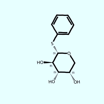 O[C@@H]1[C@@H](O)[C@H](Sc2ccccc2)OC[C@@H]1O